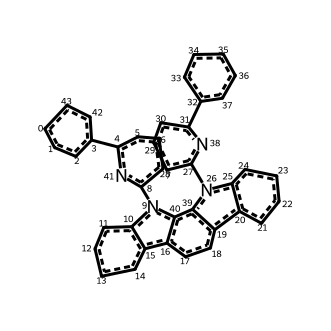 c1ccc(-c2cccc(-n3c4ccccc4c4ccc5c6ccccc6n(-c6cccc(-c7ccccc7)n6)c5c43)n2)cc1